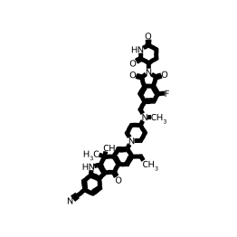 CCc1cc2c(cc1N1CCC(N(C)Cc3cc(F)c4c(c3)C(=O)N(C3CCC(=O)NC3=O)C4=O)CC1)C(C)(C)c1[nH]c3cc(C#N)ccc3c1C2=O